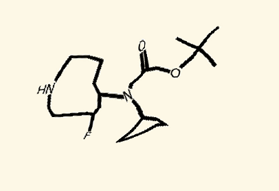 CC(C)(C)OC(=O)N(C1CC1)C1CCNCC1F